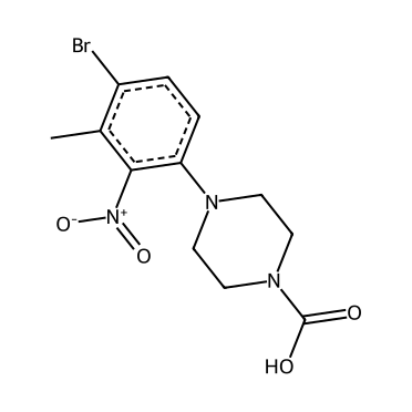 Cc1c(Br)ccc(N2CCN(C(=O)O)CC2)c1[N+](=O)[O-]